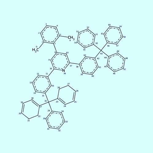 Cc1cccc(C)c1-c1cc(-c2cccc(C(C3=CC=CCC3)(C3=CC=CCC3)c3ccccc3)c2)nc(-c2cccc(C(c3ccccc3)(c3ccccc3)c3ccccc3)c2)c1